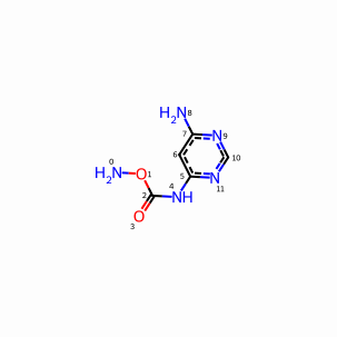 NOC(=O)Nc1cc(N)ncn1